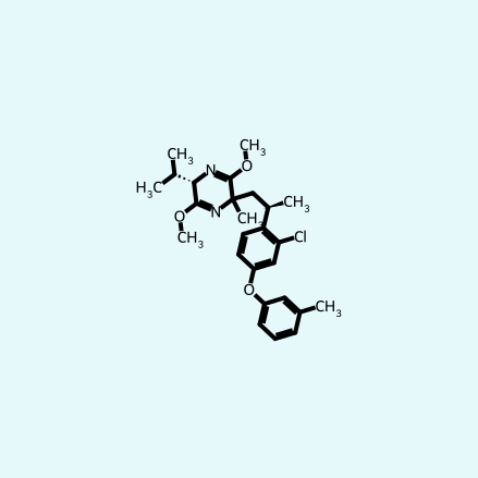 COC1=NC(C)(C[C@@H](C)c2ccc(Oc3cccc(C)c3)cc2Cl)C(OC)=N[C@H]1C(C)C